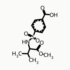 COC(=O)C(NS(=O)(=O)c1ccc(C(=O)O)cc1)C(C)C